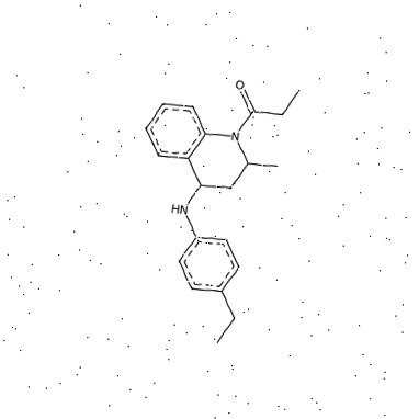 CCC(=O)N1c2ccccc2C(Nc2ccc(CC)cc2)CC1C